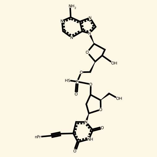 CCCC#Cc1cn([C@H]2CC(OP(=O)(S)OC[C@H]3O[C@@H](n4cnc5c(N)ncnc54)CC3O)[C@@H](CO)O2)c(=O)[nH]c1=O